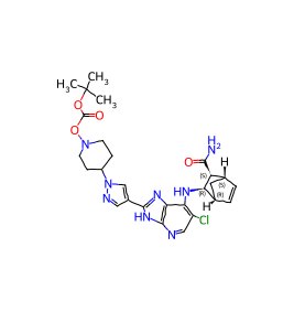 CC(C)(C)OC(=O)ON1CCC(n2cc(-c3nc4c(N[C@H]5[C@@H](C(N)=O)[C@@H]6C=C[C@H]5C6)c(Cl)cnc4[nH]3)cn2)CC1